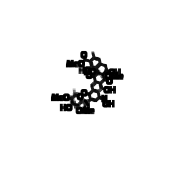 COC(=O)c1c(C)cc2c(c1O)[C@]1(O)C(=O)c3cc4c(c(O)c3C(=O)[C@]1(OC)[C@H](O)C2)C(=NO)C=C(N[C@H]1O[C@@H](C)[C@H](OC)[C@@H](O)[C@H]1OC)C4=O